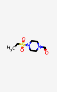 CCS(=O)(=O)N1CCN(C=O)CC1